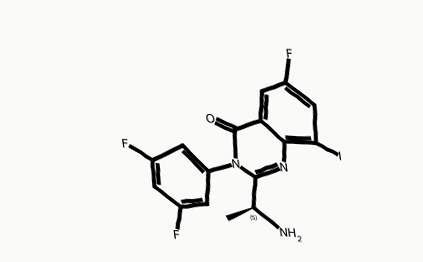 C[C@H](N)c1nc2c(I)cc(F)cc2c(=O)n1-c1cc(F)cc(F)c1